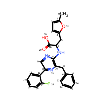 Cc1ccc(CC(Nc2ncc(-c3ccccc3F)nc2Cc2ccccc2)C(=O)O)o1